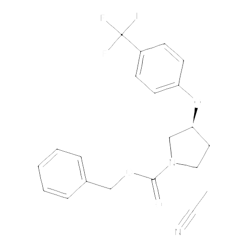 N#CC[C@H]1C[C@H](Oc2ccc(C(F)(F)F)cc2)CN1C(=O)OCc1ccccc1